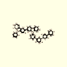 C1=Cc2c(n(-c3ccccc3)c3ccc(-c4ccc5c6ccccc6n(-c6nccc(-c7cccc(-c8ccc(-c9ccccc9)cc8)c7)n6)c5c4)cc23)CC1